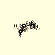 COc1ccc(NC(=O)c2[nH]c(C)c(C(C)=O)c2C)cc1S(=O)(=O)Nc1cccc(C#N)c1